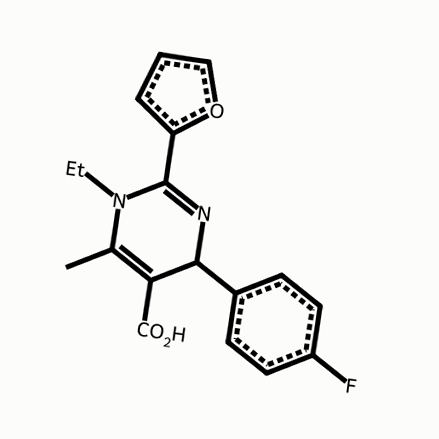 CCN1C(c2ccco2)=NC(c2ccc(F)cc2)C(C(=O)O)=C1C